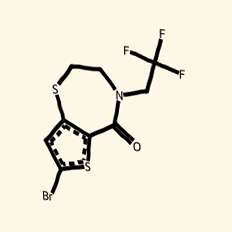 O=C1c2sc(Br)cc2SCCN1CC(F)(F)F